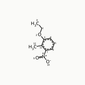 CCOc1cccc([N+](=O)[O-])c1C